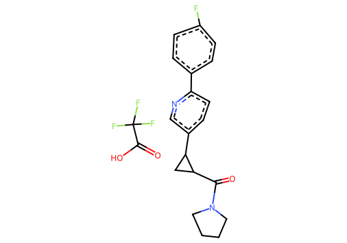 O=C(C1CC1c1ccc(-c2ccc(F)cc2)nc1)N1CCCC1.O=C(O)C(F)(F)F